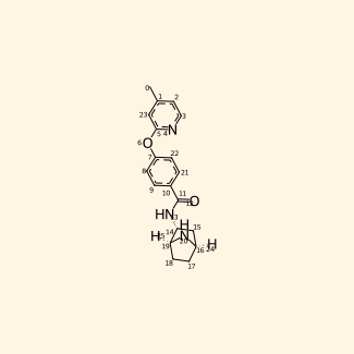 Cc1ccnc(Oc2ccc(C(=O)N[C@@H]3C[C@H]4CC[C@@H]3N4)cc2)c1